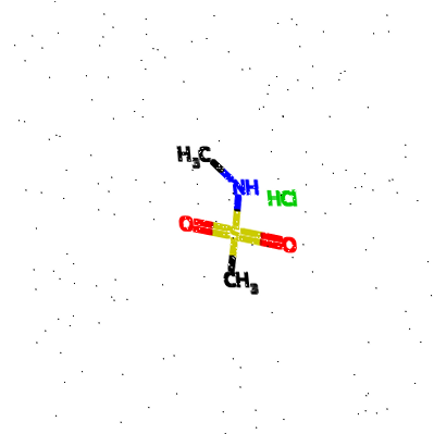 CNS(C)(=O)=O.Cl